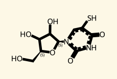 O=c1[nH]c(=O)n([C@H]2O[C@@H](CO)C(O)C2O)cc1S